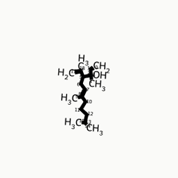 C=CC(C)(O)C(C/C=C(\C)CCCC(C)C)C(=C)C